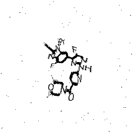 Cc1nc2c(F)cc(-c3nc(Nc4ccc(C(=O)N5C[C@@H](C)O[C@@H](C)C5)cn4)ncc3F)cc2n1C(C)C